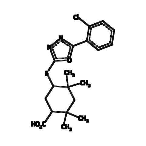 CC1(C)CC(C)(C)C(C(=O)O)CC1Sc1nnc(-c2ccccc2Cl)o1